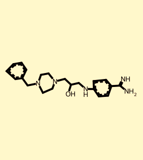 N=C(N)c1ccc(NCC(O)CN2CCN(Cc3ccccc3)CC2)cc1